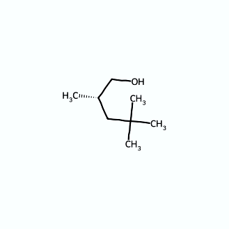 C[C@H](CO)CC(C)(C)C